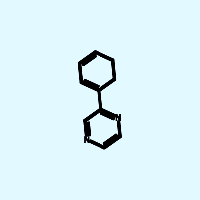 C1=CCCC(c2cnccn2)=C1